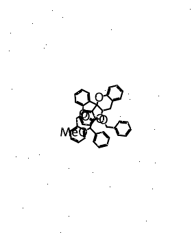 COC(C(=O)OC1Cc2ccccc2OC1(c1ccccc1OCc1ccccc1)c1ccccc1OCc1ccccc1)c1ccccc1